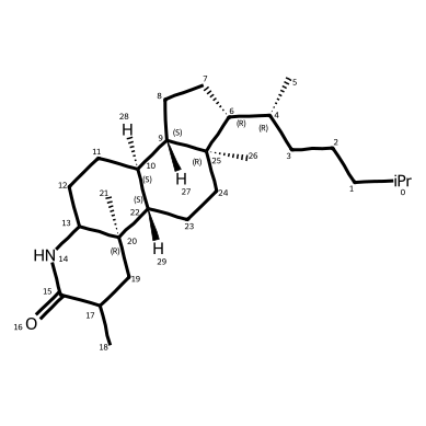 CC(C)CCC[C@@H](C)[C@H]1CC[C@H]2[C@@H]3CCC4NC(=O)C(C)C[C@]4(C)[C@H]3CC[C@]12C